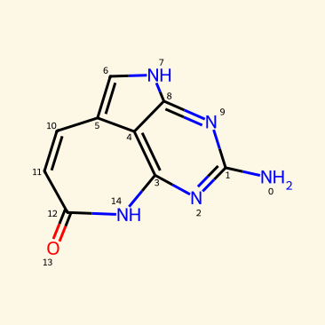 Nc1nc2c3c(c[nH]c3n1)C=CC(=O)N2